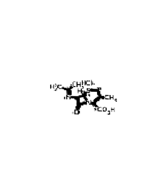 CC(C)=NC1C(=O)N2C(C(=O)O)=C(C)CS[C@@H]12.Cl